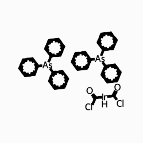 O=[C](Cl)[IrH][C](=O)Cl.c1ccc([As](c2ccccc2)c2ccccc2)cc1.c1ccc([As](c2ccccc2)c2ccccc2)cc1